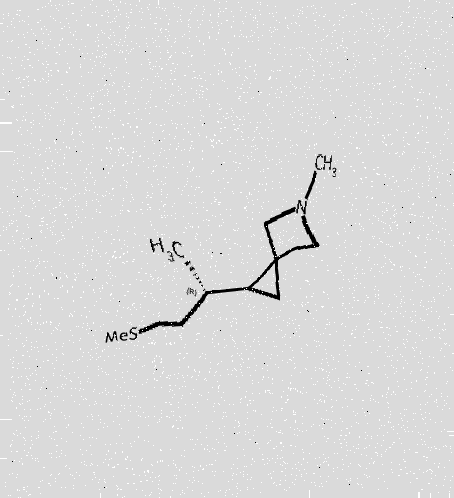 CSC[C@H](C)C1CC12CN(C)C2